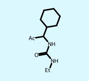 CCNC(=O)NC(C(C)=O)C1CCCCC1